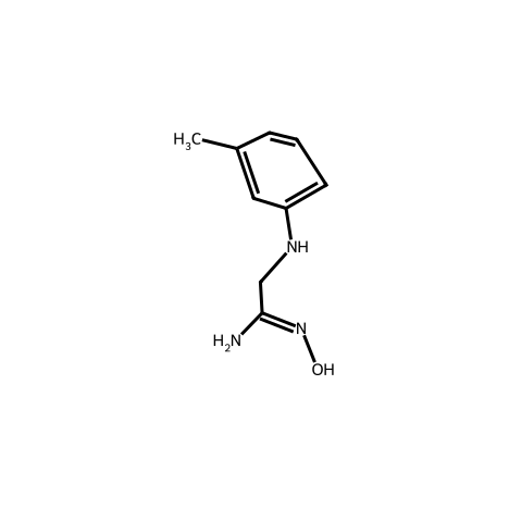 Cc1cccc(NCC(N)=NO)c1